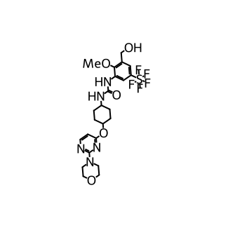 COc1c(CO)cc(S(F)(F)(F)(F)F)cc1NC(=O)NC1CCC(Oc2ccnc(N3CCOCC3)n2)CC1